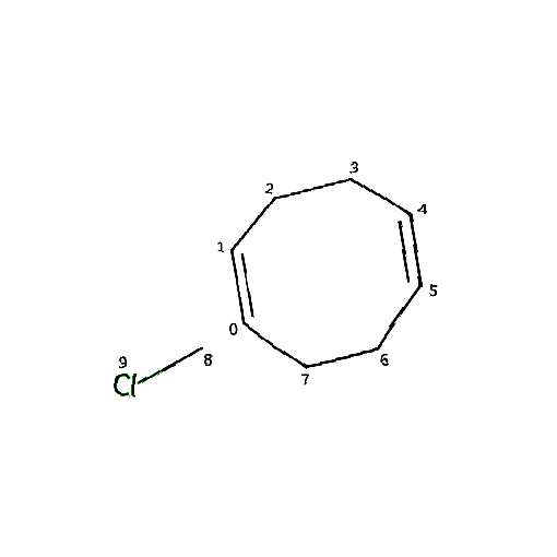 C1=CCCC=CCC1.CCl